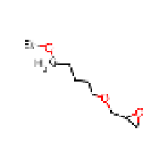 CCO[SiH2]CCCCOCC1CO1